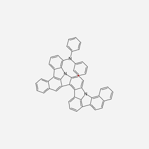 c1ccc(N(c2ccccc2)c2cccc3c4c5ccccc5cc5c6c7c8cccc9c%10ccc%11ccccc%11c%10n(c7ccc6n(c23)c54)c98)cc1